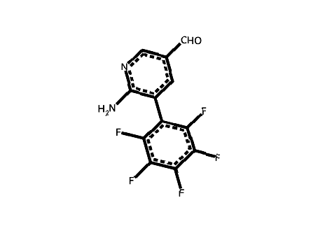 Nc1ncc(C=O)cc1-c1c(F)c(F)c(F)c(F)c1F